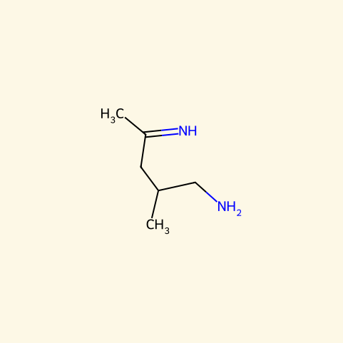 CC(=N)CC(C)CN